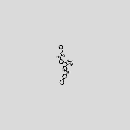 O=C(CCc1ccccc1)Nc1cccc(-c2nc3sccn3c2-c2ccnc(Nc3ccc(N4CCCCC4)cc3)n2)c1